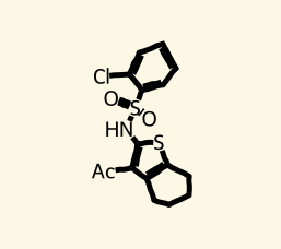 CC(=O)c1c(NS(=O)(=O)c2ccccc2Cl)sc2c1CCCC2